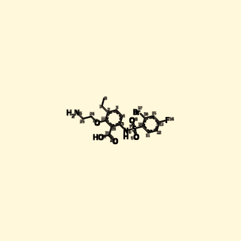 CCc1ccc(NS(=O)(=O)c2ccc(F)cc2Br)c(C(=O)O)c1OCCN